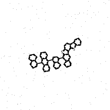 c1ccc2c(-c3c4ccccc4c(-c4ccc(-c5c6ccccc6cc6c5sc5ccc7c8ccccc8sc7c56)c5ccccc45)c4ccccc34)cccc2c1